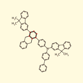 CC1(C)c2ccccc2-c2cc(-c3ccc(-c4ccc(N(c5ccc(-c6ccccc6)cc5)c5ccc6c(c5)C(C)(C)c5ccccc5-6)cc4)c4c3C3c5ccccc5C4c4ccccc43)ccc21